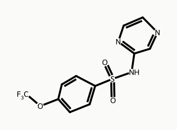 O=S(=O)(Nc1cnccn1)c1ccc(OC(F)(F)F)cc1